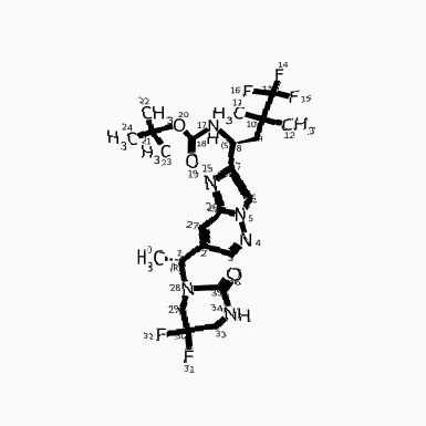 C[C@H](c1cnn2cc([C@H](CC(C)(C)C(F)(F)F)NC(=O)OC(C)(C)C)nc2c1)N1CC(F)(F)CNC1=O